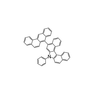 c1ccc(-n2c3ccc4ccccc4c3c3c4ccccc4c(-c4c5ccccc5cc5c4ccc4ccccc45)cc32)cc1